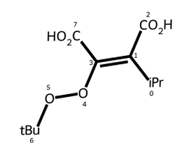 CC(C)C(C(=O)O)=C(OOC(C)(C)C)C(=O)O